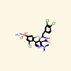 CN(C)c1ncc(-c2c(Cl)cc(S(N)(=O)=O)cc2Cl)c2nc(Cc3ccc(Cl)c(Cl)c3)[nH]c(=O)c12